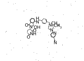 CC1(C)CN(c2ccc(C#N)cn2)CCN1CC1=CCC(CNc2cccc3c2C(O)N(C2CCC(=O)NC2=O)C3=O)C=C1